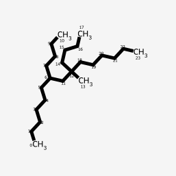 CCCCCCC(CCCC)CC(C)(CCCC)CCCCCC